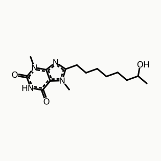 CC(O)CCCCCCc1nc2c(c(=O)[nH]c(=O)n2C)n1C